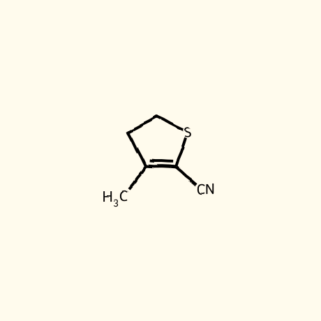 CC1=C(C#N)SCC1